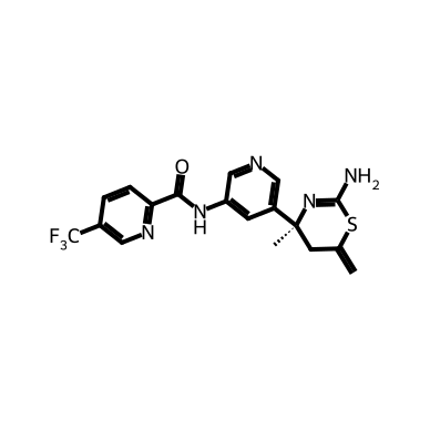 C=C1C[C@@](C)(c2cncc(NC(=O)c3ccc(C(F)(F)F)cn3)c2)N=C(N)S1